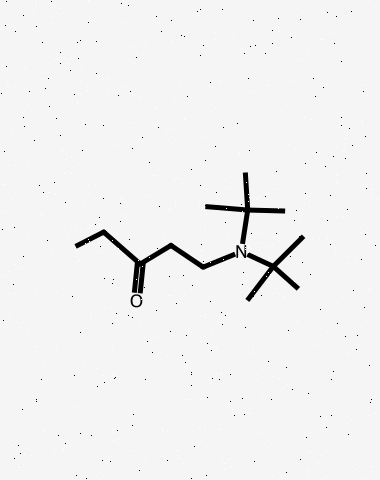 CCC(=O)CCN(C(C)(C)C)C(C)(C)C